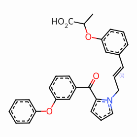 CC(Oc1cccc(/C=C/Cn2cccc2C(=O)c2cccc(Oc3ccccc3)c2)c1)C(=O)O